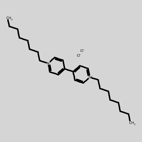 CCCCCCCC[n+]1ccc(-c2cc[n+](CCCCCCCC)cc2)cc1.[Cl-].[Cl-]